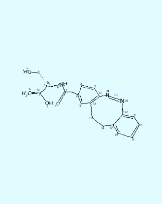 C[C@H](O)[C@H](CO)NC(=O)c1ccc2c(c1)CCc1ccccc1/N=N\2